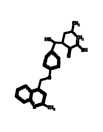 Cc1cc(COc2ccc(C(O)C(CC(C)C)C(=O)NO)cc2)c2ccccc2n1